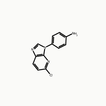 Nc1ccc(-n2cnc3ccc(Cl)nc32)cc1